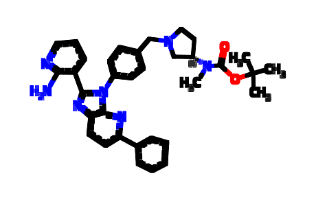 CN(C(=O)OC(C)(C)C)[C@H]1CCN(Cc2ccc(-n3c(-c4cccnc4N)nc4ccc(-c5ccccc5)nc43)cc2)C1